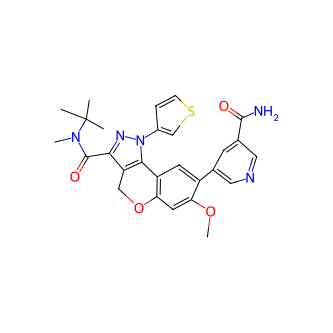 COc1cc2c(cc1-c1cncc(C(N)=O)c1)-c1c(c(C(=O)N(C)C(C)(C)C)nn1-c1ccsc1)CO2